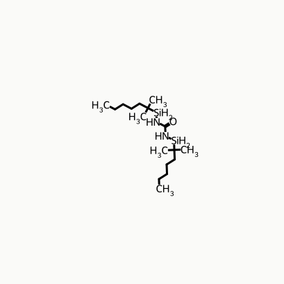 CCCCCC(C)(C)[SiH2]NC(=O)N[SiH2]C(C)(C)CCCCC